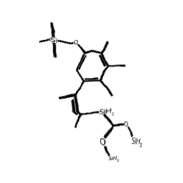 CC([SiH2]C(O[SiH3])O[SiH3])=C(C)c1cc(O[Si](C)(C)C)c(C)c(C)c1C